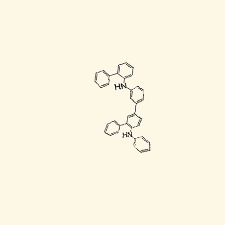 c1ccc(Nc2ccc(-c3cccc(Nc4ccccc4-c4ccccc4)c3)cc2-c2ccccc2)cc1